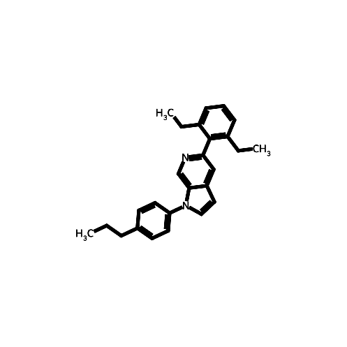 CCCc1ccc(-n2ccc3cc(-c4c(CC)cccc4CC)ncc32)cc1